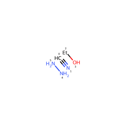 C#N.CCO.NN